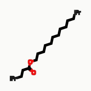 CC(C)CCCCCCCCCCCOC(=O)CCC(C)C